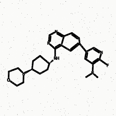 CN(C)c1cc(-c2ccc3ncnc(N[C@H]4CC[C@H](N5CCOCC5)CC4)c3c2)cnc1F